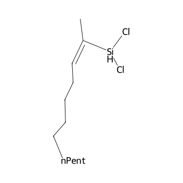 CCCCCCCCCC=C(C)[SiH](Cl)Cl